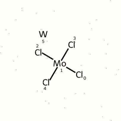 [Cl][Mo]([Cl])([Cl])[Cl].[W]